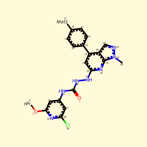 CCCOc1cc(NC(=O)NNc2cc(-c3ccc(OC)cc3)c3cnn(C)c3n2)cc(Cl)n1